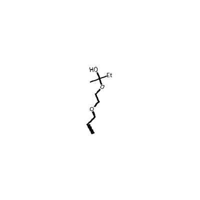 C=CCOCCOC(C)(O)CC